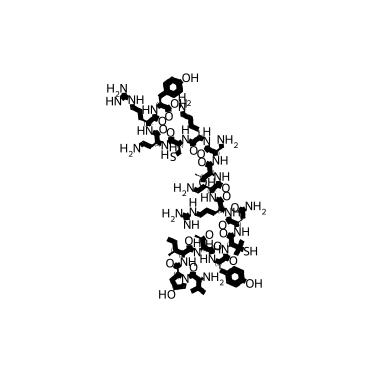 CC[C@H](C)[C@H](NC(=O)[C@@H]1C[C@@H](O)CN1C(=O)[C@@H](N)C(C)C)C(=O)N[C@H](C(=O)N[C@@H](Cc1ccc(O)cc1)C(=O)N[C@H](C(=O)N[C@@H](CC(N)=O)C(=O)N[C@@H](CCCNC(=N)N)C(=O)N[C@@H](CCN)C(=O)N[C@H](C(=O)N[C@H](CN)C(=O)N[C@@H](CCCCN)C(=O)N[C@@H](CS)C(=O)N[C@@H](CCN)C(=O)N[C@@H](CCCNC(=N)N)C(=O)N[C@@H](Cc1ccc(O)cc1)C(=O)O)[C@@H](C)O)C(C)(C)S)[C@@H](C)O